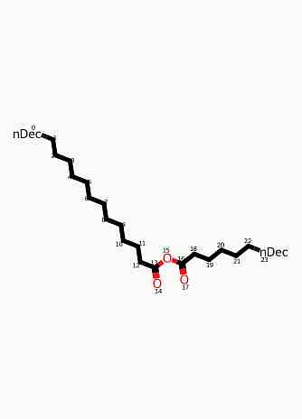 CCCCCCCCCCCCCCCCCCCCCCC(=O)OC(=O)CCCCCCCCCCCCCCC